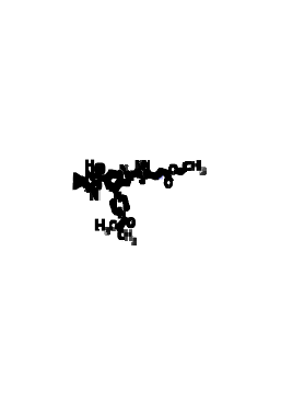 CCOC(=O)/C=C/c1nnc(-n2cc3c(N4CCN(C(=O)C(C)C)CC4)cc(S(=O)(=O)NC4(C#N)CC4)cc3n2)s1